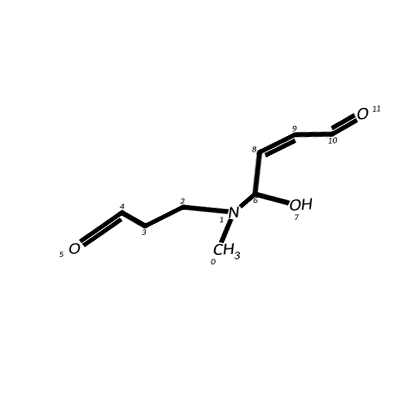 CN(CCC=O)C(O)/C=C\C=O